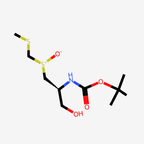 CSC[S+]([O-])C[C@H](CO)NC(=O)OC(C)(C)C